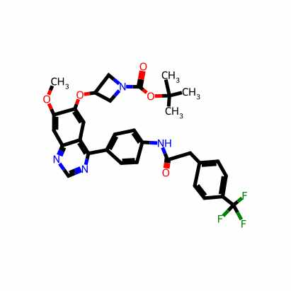 COc1cc2ncnc(-c3ccc(NC(=O)Cc4ccc(C(F)(F)F)cc4)cc3)c2cc1OC1CN(C(=O)OC(C)(C)C)C1